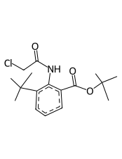 CC(C)(C)OC(=O)c1cccc(C(C)(C)C)c1NC(=O)CCl